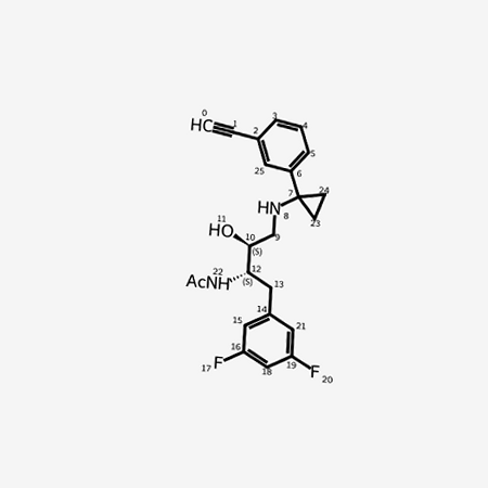 C#Cc1cccc(C2(NC[C@H](O)[C@H](Cc3cc(F)cc(F)c3)NC(C)=O)CC2)c1